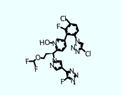 Cn1nnc(-c2cnn([C@@H](CCOC(F)F)c3ccc(-c4c(-n5cc(Cl)nn5)ccc(Cl)c4F)c[n+]3O)c2)c1F